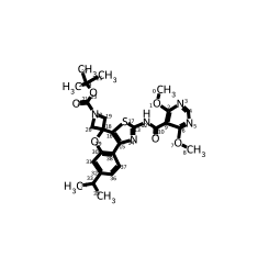 COc1ncnc(OC)c1C(=O)Nc1nc2c(s1)C1(CN(C(=O)OC(C)(C)C)C1)Oc1cc(C(C)C)ccc1-2